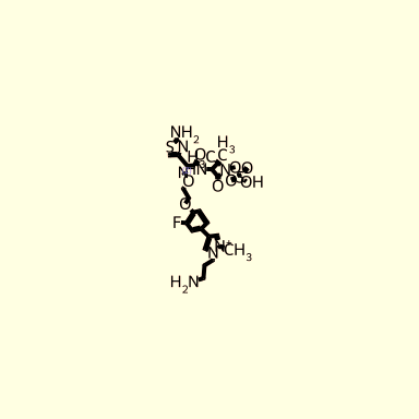 C[n+]1cc(-c2ccc(OCCO/N=C(\C(=O)NC3C(=O)N(OS(=O)(=O)O)C3(C)C)c3csc(N)n3)c(F)c2)cn1CCCN